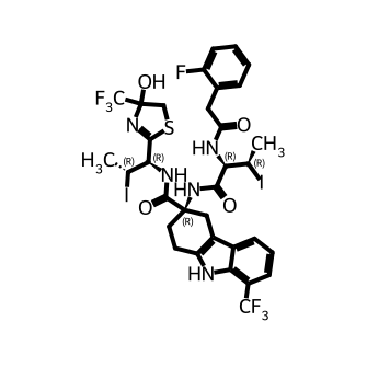 C[C@@H](I)[C@H](NC(=O)Cc1ccccc1F)C(=O)N[C@]1(C(=O)N[C@H](C2=NC(O)(C(F)(F)F)CS2)[C@@H](C)I)CCc2[nH]c3c(C(F)(F)F)cccc3c2C1